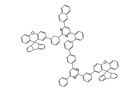 C1=CC(c2nc(-c3ccc4ccccc4c3)cc(-c3ccccc3-c3cccc(-c4ccc(-c5cc(-c6ccccc6)nc(-c6cccc(-c7ccc8c(c7)C7(c9ccccc9O8)c8ccccc8C8C=CC=CC87)c6)n5)cc4)c3)n2)CC(c2ccc3c(c2)C2(c4ccccc4O3)c3ccccc3C3C=CC=CC32)=C1